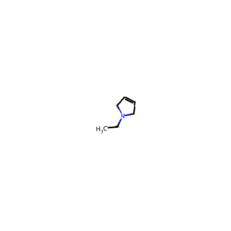 C[CH]N1CC=CC1